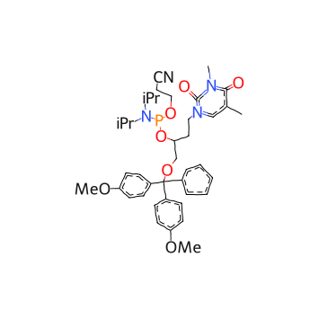 COc1ccc(C(OCC(CCn2cc(C)c(=O)n(C)c2=O)OP(OCCC#N)N(C(C)C)C(C)C)(c2ccccc2)c2ccc(OC)cc2)cc1